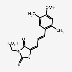 COc1cc(C)c(C=CC=C2SC(=S)N(CC(=O)O)C2=O)cc1C